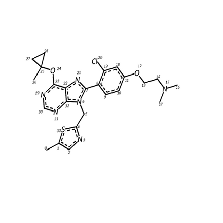 Cc1cnc(Cn2c(-c3ccc(OCCN(C)C)cc3Cl)nc3c(OC4(C)CC4)ncnc32)s1